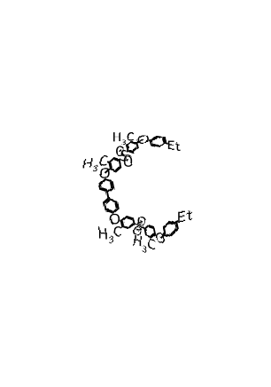 CCc1ccc(Oc2ccc(S(=O)(=O)c3ccc(Oc4ccc(-c5ccc(Oc6ccc(S(=O)(=O)c7ccc(Oc8ccc(CC)cc8)c(C)c7)cc6C)cc5)cc4)c(C)c3)cc2C)cc1